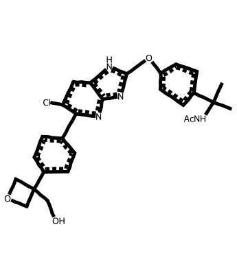 CC(=O)NC(C)(C)c1ccc(Oc2nc3nc(-c4ccc(C5(CO)COC5)cc4)c(Cl)cc3[nH]2)cc1